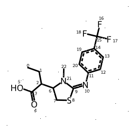 CCC(C(=O)O)C1CSC(=Nc2ccc(C(F)(F)F)cc2)N1C